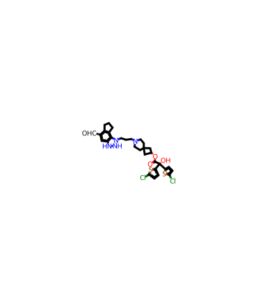 O=Cc1cc2c(c3c1CCC3)N(CCCN1CCC3(CC1)CC(OC(=O)C(O)(c1ccc(Cl)s1)c1ccc(Cl)s1)C3)NN2